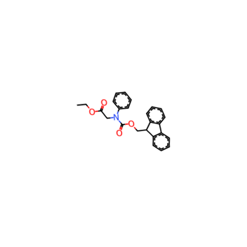 CCOC(=O)CN(C(=O)OCC1c2ccccc2-c2ccccc21)c1ccccc1